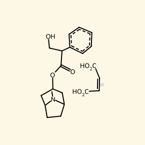 CN1C2CCC1CC(OC(=O)C(CO)c1ccccc1)C2.O=C(O)/C=C\C(=O)O